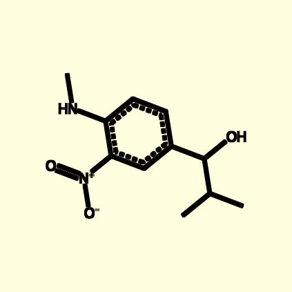 CNc1ccc(C(O)C(C)C)cc1[N+](=O)[O-]